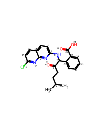 CC(C)CCC(=O)C(Nc1ccc2ccc(Cl)nc2n1)c1ccccc1C(=O)O